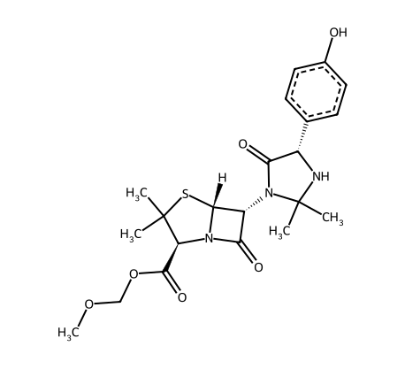 COCOC(=O)[C@@H]1N2C(=O)[C@@H](N3C(=O)[C@H](c4ccc(O)cc4)NC3(C)C)[C@H]2SC1(C)C